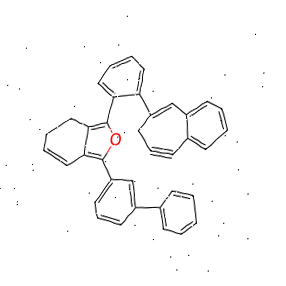 C1#Cc2ccccc2C=C(c2ccccc2-c2oc(-c3cccc(-c4ccccc4)c3)c3c2CCC=C3)C1